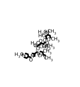 CCC[C@@H](C)CN(C)[C@@H](COC(=O)C(C)(C)C(=O)[C@H](C)[C@H](OC)O[C@@H]1O[C@H](C)C[C@H](N(C)C)[C@H]1O)C1CN(C(=O)C2CCN(C)CC2)C1